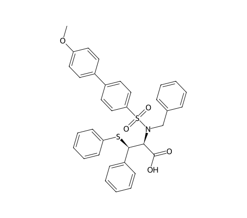 COc1ccc(-c2ccc(S(=O)(=O)N(Cc3ccccc3)[C@@H](C(=O)O)[C@H](Sc3ccccc3)c3ccccc3)cc2)cc1